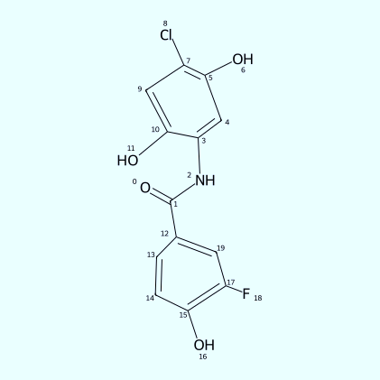 O=C(Nc1cc(O)c(Cl)cc1O)c1ccc(O)c(F)c1